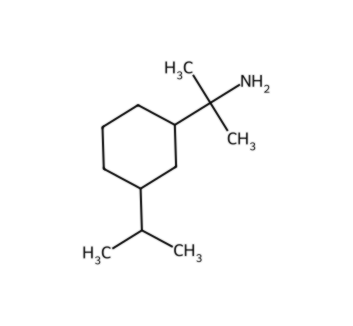 CC(C)C1CCCC(C(C)(C)N)C1